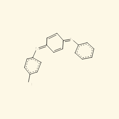 Cc1ccc(N=C2C=CC(=Nc3ccccc3)C=C2)cc1